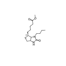 CCCCN1C(=O)NC2CS[C@@H](CCCCC(=O)OC)C21